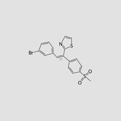 CS(=O)(=O)c1ccc(/C(=C/c2cccc(Br)c2)c2nccs2)cc1